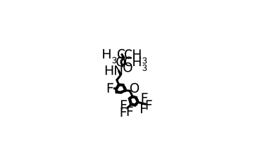 CC(C)(C)OC(=O)NCCc1cc(C(=O)c2cc(C(F)(F)F)cc(C(F)(F)F)c2)ccc1F